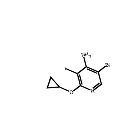 Nc1c(Br)cnc(OC2CC2)c1I